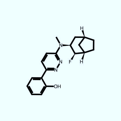 CN(c1ccc(-c2ccccc2O)nn1)[C@H]1C[C@@H]2CC[C@@H](C2)[C@H]1F